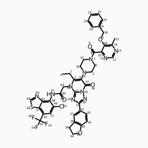 CCc1c(N2CCN(C(=O)c3ncnc(C)c3OCc3ccccc3)CC2)c(=O)n2nc(-c3ccc4c(c3)CCO4)nc2n1CC(=O)Nc1c(Cl)cc(C(F)(F)F)c2scnc12